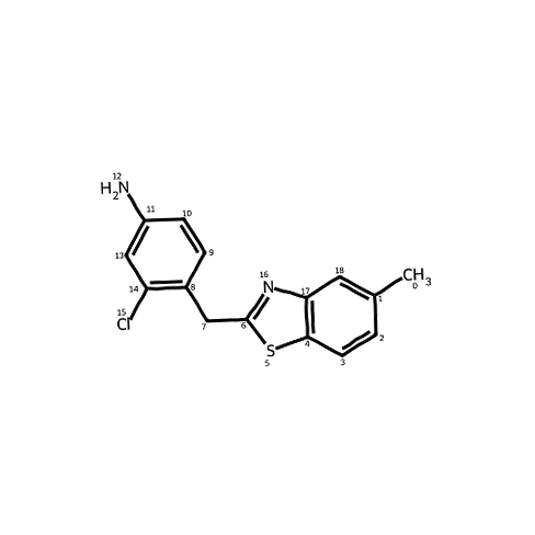 Cc1ccc2sc(Cc3ccc(N)cc3Cl)nc2c1